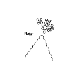 CCCCCCCCCCCCCCC(CCCCCCCCCCCCCC)CO[C@@H]1O[C@H](COS(=O)(=O)[O-])[C@H](OS(=O)(=O)[O-])[C@H](OS(=O)(=O)[O-])[C@H]1O.[Na+].[Na+].[Na+]